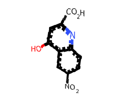 O=C(O)c1cc(O)c2cc([N+](=O)[O-])ccc2n1